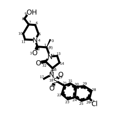 C[C@H](C(=O)N1CCC(CO)CC1)N1CC[C@H](N(C)S(=O)(=O)c2ccc3cc(Cl)ccc3c2)C1=O